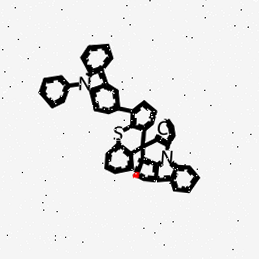 c1ccc(-n2c3ccccc3c3cc(-c4cccc5c4Sc4ccccc4C54c5ccccc5-n5c6ccccc6c6cccc4c65)ccc32)cc1